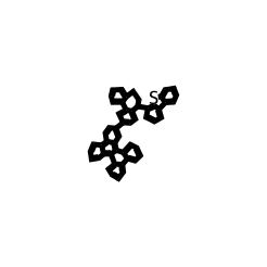 c1ccc2c(c1)CCC(c1cccc3c1sc1ccccc13)c1ccc(-c3ccc4c5ccccc5c5c6ccccc6c6ccccc6c5c4c3)cc1-2